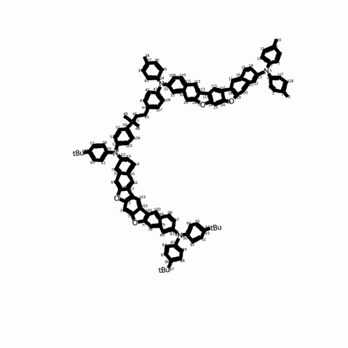 Cc1ccc(N(c2ccc(C)cc2)c2ccc3cc4c(cc3c2)oc2cc3oc5cc6cc(N(c7ccc(C)cc7)c7ccc(CCC(C)(C)c8ccc(N(c9ccc(C(C)(C)C)cc9)c9ccc%10cc%11c(cc%10c9)oc9cc%10oc%12cc%13cc(N(c%14ccc(C(C)(C)C)cc%14)c%14ccc(C(C)(C)C)cc%14)ccc%13cc%12c%10cc9%11)cc8)cc7)ccc6cc5c3cc24)cc1